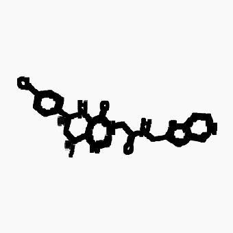 C[C@@H]1C[C@@H](c2ccc(Cl)cc2)Nc2c1ncn(CC(=O)NCc1cc3cnccc3s1)c2=O